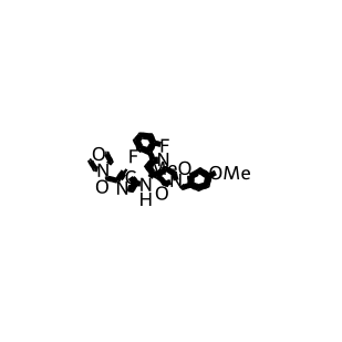 COc1ccc(CN2Cc3nc(-c4c(F)cccc4F)cc(Nc4ccc(C(=O)N5CCOCC5)nc4)c3C2=O)c(OC)c1